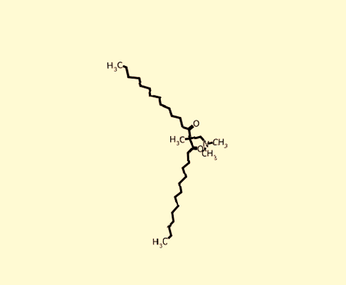 CCCCCCCCCCCCCC(=O)C(C)(CN(C)C)C(=O)CCCCCCCCCCCCC